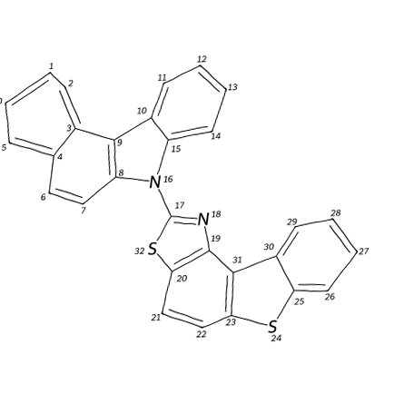 c1ccc2c(c1)ccc1c2c2ccccc2n1-c1nc2c(ccc3sc4ccccc4c32)s1